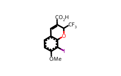 COc1ccc2c(c1I)OC(C(F)(F)F)C(C(=O)O)=C2